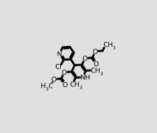 CCOC(=O)OC1=C(C)NC(C)=C(OC(=O)OC)C1c1cccnc1Cl